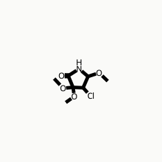 COC1NC(=O)C(OC)(OC)C1Cl